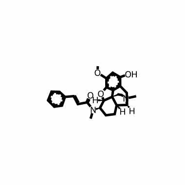 COc1cc(O)c2c3c1O[C@H]1[C@H](N(C)C(=O)C=Cc4ccccc4)CC[C@H]4[C@@H](C2)N(C)CC[C@@]341